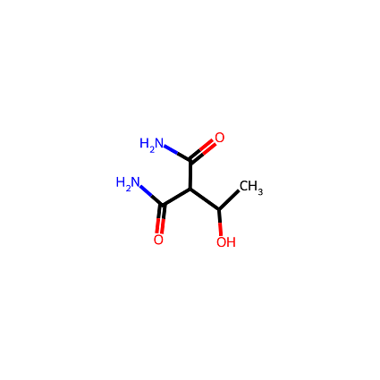 CC(O)C(C(N)=O)C(N)=O